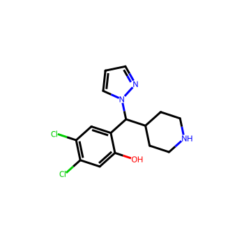 Oc1cc(Cl)c(Cl)cc1C(C1CCNCC1)n1cccn1